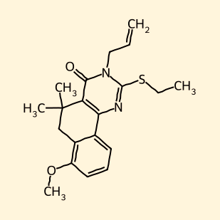 C=CCn1c(SCC)nc2c(c1=O)C(C)(C)Cc1c(OC)cccc1-2